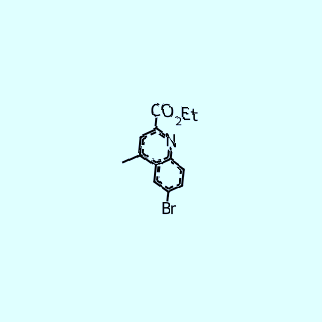 CCOC(=O)c1cc(C)c2cc(Br)ccc2n1